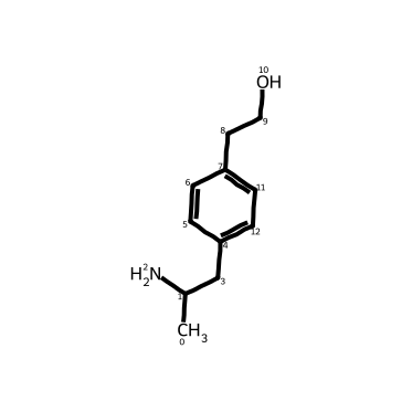 CC(N)Cc1ccc(CCO)cc1